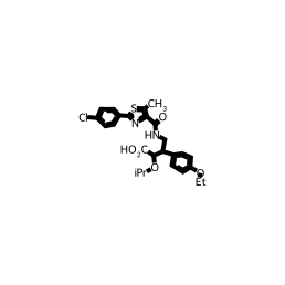 CCOc1ccc(C(CNC(=O)c2nc(-c3ccc(Cl)cc3)sc2C)C(OC(C)C)C(=O)O)cc1